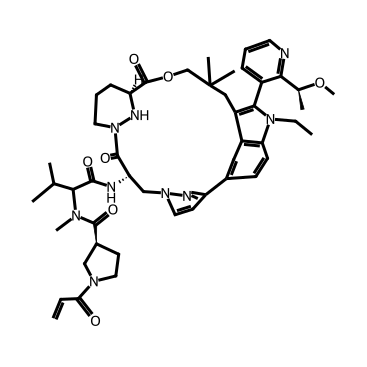 C=CC(=O)N1CC[C@H](C(=O)N(C)C(C(=O)N[C@H]2Cn3ccc(n3)-c3ccc4c(c3)c(c(-c3cccnc3[C@H](C)OC)n4CC)CC(C)(C)COC(=O)[C@@H]3CCCN(N3)C2=O)C(C)C)C1